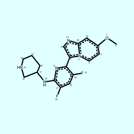 COc1ccn2c(-c3nc(NC4CCCNC4)c(F)cc3F)cnc2c1